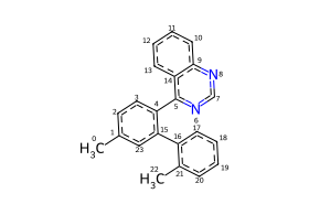 Cc1ccc(-c2ncnc3ccccc23)c(-c2ccccc2C)c1